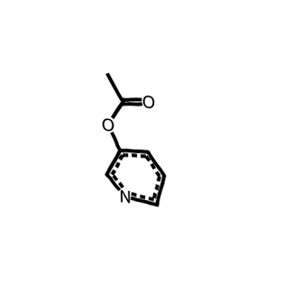 CC(=O)Oc1cccnc1